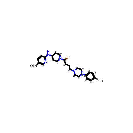 O=[N+]([O-])c1ccc(NC2CCN(C(=S)CCCN3CCN(c4ccc(C(F)(F)F)cc4)CC3)CC2)nc1